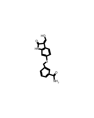 NC(=O)c1cccc(CSc2ccc3c(c2)NC(=O)C3=CO)c1